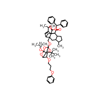 CC(C)C1=CC2CC3(C=O)C4CCC(C)C4CC2(COC24OC5C(OCCCOc6ccccc6)C(OC5(O[SiH](C)C)O2)C4C(C)(C)C)C13C(=O)OC(c1ccccc1)c1ccccc1